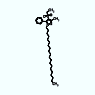 CCCCCCCCCCCCCCCCCCCCn1nc(C)c(S(=O)(=O)CC)c1-c1ccccc1